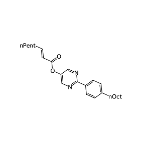 CCCCCC=CC(=O)Oc1cnc(-c2ccc(CCCCCCCC)cc2)nc1